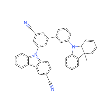 CC12C=CC=CC1N(c1cccc(-c3cc(C#N)cc(-n4c5ccccc5c5cc(C#N)ccc54)c3)c1)c1ccccc12